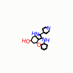 O=C1CC(O)Cc2[nH]c(-c3ccncc3)c(Nc3ccccc3)c21